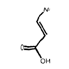 [N]C=CC(=O)O